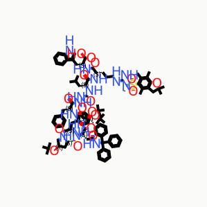 Cc1c(C)c(S(=O)(=O)N(C)C(=N)NCCC[C@H](NC(=O)[C@H](CC(C)C)NC(=O)NNC(=O)[C@H](Cc2ccccc2)NC(=O)[C@@H](NC(=O)[C@H](CC(=O)NC(c2ccccc2)(c2ccccc2)c2ccccc2)NC(=O)[C@@H]2C[C@@H](OC(C)(C)C)CN2C(=O)[C@@H](N)Cc2ccc(OC(C)(C)C)cc2)[C@@H](C)OC(C)(C)C)C(=O)N[C@@H](Cc2c[nH]c3ccccc23)C(=O)O)c(C)c2c1OC(C)(C)C2